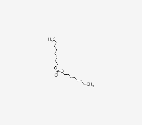 CCCCCCCCO[P](=O)OCCCCCCCC